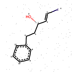 O[C@H](/C=C/I)CCc1ccccc1